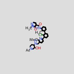 COc1nc(-c2cccc(-c3cccc(NC(=O)c4ccnn(C)c4=O)c3C)c2Cl)ccc1CN[C@@H]1CCN(C(C)=O)C[C@@H]1O